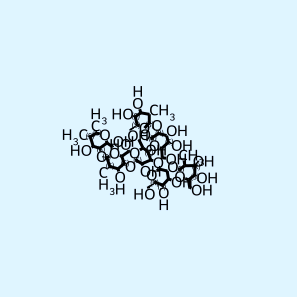 CC1C(O)[C@H](O)[C@H](CO)O[C@H]1O[C@@H]1C(O)[C@H](O)C(CO)O[C@@H]1OCC1O[C@@H](O[C@@H]2C(CO)O[C@@H](O[C@@H]3C(CO)O[C@@H](C)[C@@H](C)C3O)[C@@H](C)C2O)C(O)C(OC2O[C@H](CO)[C@@H](O)C(O)C2O[C@@H]2OC(CO)[C@@H](O)[C@H](O)C2C)[C@@H]1O